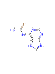 NC(=S)Nc1ncnc2nc[nH]c12